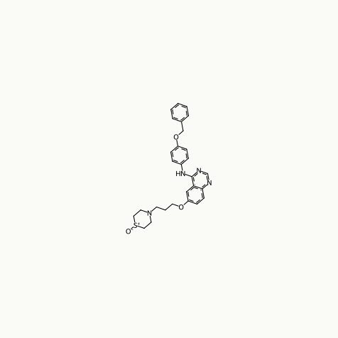 [O-][S+]1CCN(CCCOc2ccc3ncnc(Nc4ccc(OCc5ccccc5)cc4)c3c2)CC1